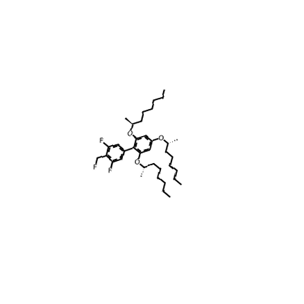 CCCCCC[C@@H](C)Oc1cc(O[C@@H](C)CCCCCC)c(-c2cc(F)c(CF)c(F)c2)c(O[C@@H](C)CCCCCC)c1